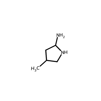 CC1CNC(N)C1